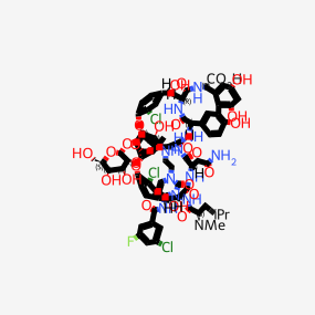 CN[C@@H](CC(C)C)C(=O)N[C@H]1C(=O)N[C@@H](CC(N)=O)C(=O)NC2C(=O)N[C@@H]3C(=O)N[C@@H](C(=O)N[C@@H](C(=O)O)c4cc(O)cc(O)c4-c4cc3ccc4O)[C@H](O)c3ccc(c(Cl)c3)Oc3cc2cc(c3OC2O[C@@H](CO)[C@@H](O)[C@@H](O)[C@H]2O[C@H]2CC(C)(NCCn3ccc(NC(=O)c4cc(F)cc(Cl)c4)nc3=O)[C@@H](O)[C@@H](C)O2)Oc2ccc(cc2Cl)[C@H]1O